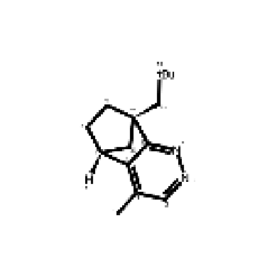 Cc1cnnc2c1[C@@H]1CC[C@@]2(CC(C)(C)C)C1